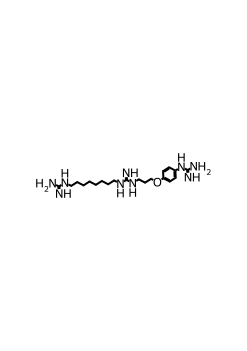 N=C(N)NCCCCCCCCNC(=N)NCCCOc1ccc(NC(=N)N)cc1